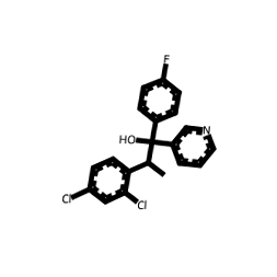 CC(c1ccc(Cl)cc1Cl)C(O)(c1ccc(F)cc1)c1cccnc1